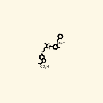 CCCN(Cc1ccccc1)c1cc(-c2nc(CCOc3ccc4c(c3)CC[C@H]4[C@H](C)C(=O)O)c(C)o2)ccc1C